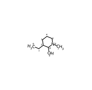 CCC1CCCN(C)C1O